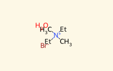 CC[N+](C)(C)CC.O.[Br-]